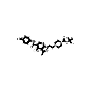 Cc1nn(CCN2CCN(C(=O)OC(C)(C)C)CC2)c2ncc(C(=O)Nc3ccc(Cl)cc3)c(Cl)c12